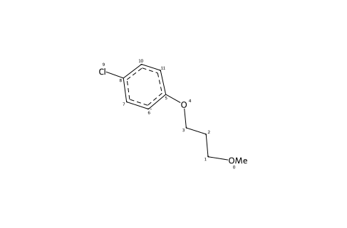 COCCCOc1[c]cc(Cl)cc1